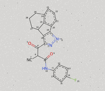 Cn1nc(C(=O)C(C#N)C(=O)Nc2ccc(F)cc2)c2c1-c1cccc3c1C2CCC3